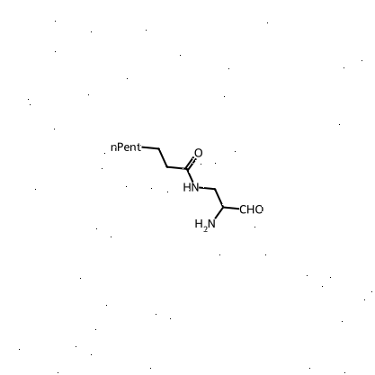 CCCCCCCC(=O)NCC(N)C=O